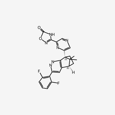 CC1(C)[C@H]2CC[C@]1(c1cncc(-c3noc(=O)[nH]3)n1)c1nnc(-c3c(F)cccc3F)cc12